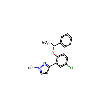 CCCCn1ccc(-c2cc(Cl)ccc2OC(C(=O)O)c2ccccc2)n1